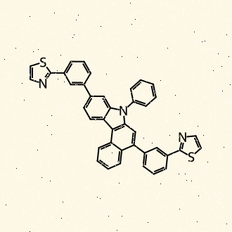 c1ccc(-n2c3cc(-c4cccc(-c5nccs5)c4)ccc3c3c4ccccc4c(-c4cccc(-c5nccs5)c4)cc32)cc1